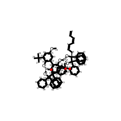 C=C/C=C\C=C/C[C@]1(c2ccccc2)OP(Oc2c(-c3cc(OC)cc(C(C)(C)C)c3OP3OC(c4ccccc4)(c4ccccc4)C(c4ccccc4)(c4ccccc4)O3)cc(OC)cc2C(C)(C)C)OC1(c1ccccc1)c1ccccc1